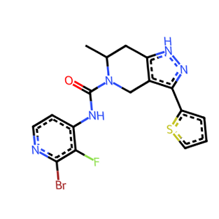 CC1Cc2[nH]nc(-c3cccs3)c2CN1C(=O)Nc1ccnc(Br)c1F